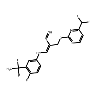 CC(F)(F)c1cc(N/C=C(/COc2nccc(C(F)F)n2)N=N)ccc1F